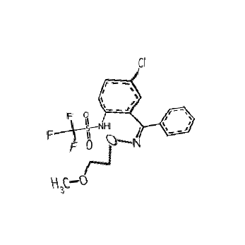 COCCON=C(c1ccccc1)c1cc(Cl)ccc1NS(=O)(=O)C(F)(F)F